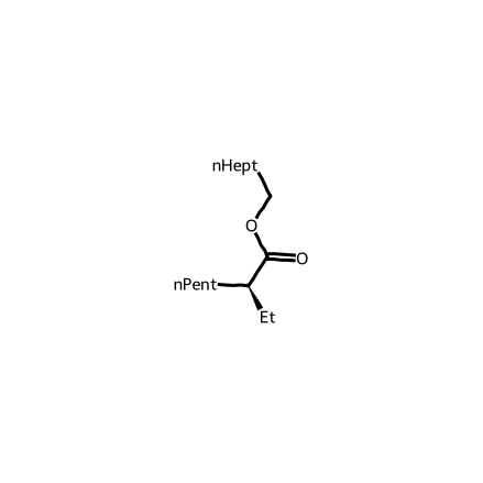 CCCCCCCCOC(=O)[C@@H](CC)CCCCC